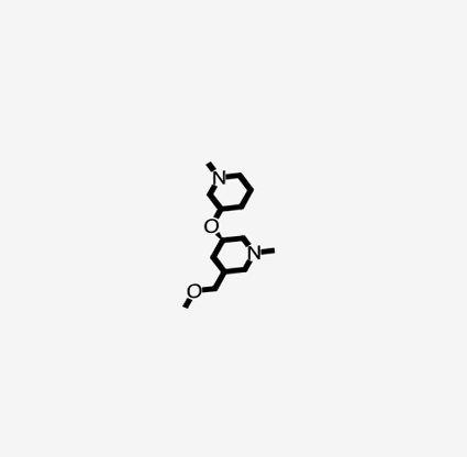 COCC1C[C@@H](OC2CCCN(C)C2)CN(C)C1